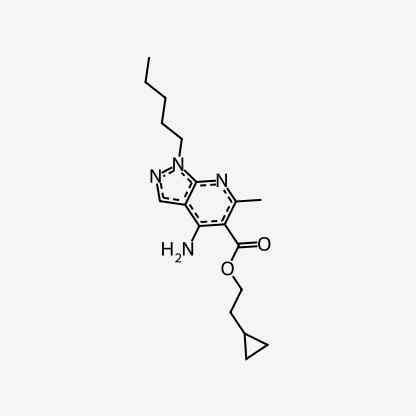 CCCCCn1ncc2c(N)c(C(=O)OCCC3CC3)c(C)nc21